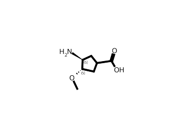 CO[C@H]1CC(C(=O)O)C[C@@H]1N